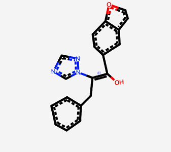 O/C(=C(\Cc1ccccc1)n1cncn1)c1ccc2occc2c1